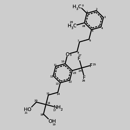 Cc1cccc(CCCOc2ccc(CCC(N)(CO)CO)cc2C(F)(F)F)c1C